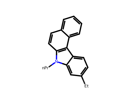 CCCn1c2cc(CC)ccc2c2c3ccccc3ccc21